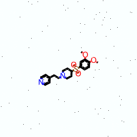 COc1ccc(S(=O)(=O)C2CCN(CCc3ccncc3)CC2)cc1OC